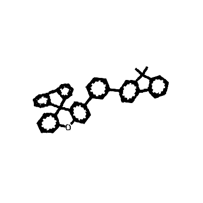 CC1(C)c2ccccc2-c2ccc(-c3cccc(-c4ccc5c(c4)C4(c6ccccc6O5)c5ccccc5-c5ccccc54)c3)cc21